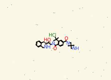 CC1(C)CN(C[C@@H](O)[C@@H]2Cc3ccccc3CN2)C(=O)c2ccc(C(=O)N3CC4(CNC4)C3)cc21.Cl